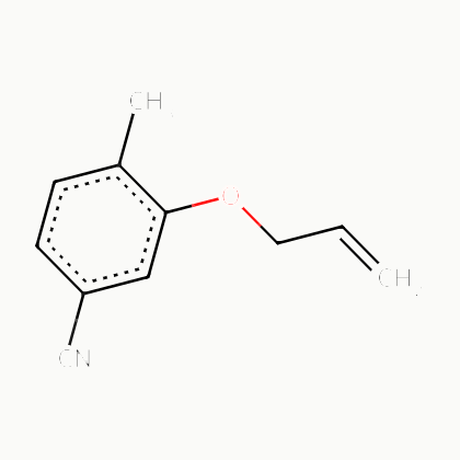 C=CCOc1cc(C#N)ccc1C